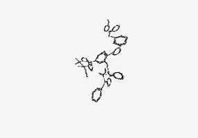 CCOC(=O)Cc1cccc(Oc2ccc(B3OC(C)(C)C(C)(C)O3)cc2CN2C(=O)OC(c3ccccc3)C2C)c1